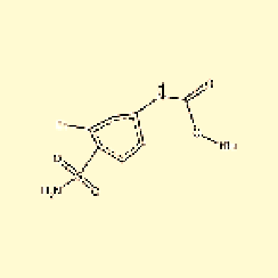 CCc1cc(NC(=O)OC(C)(C)C)ccc1S(N)(=O)=O